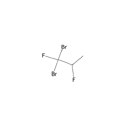 CC(F)C(F)(Br)Br